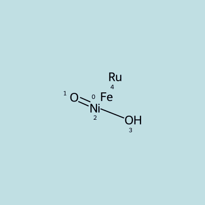 [Fe].[O]=[Ni][OH].[Ru]